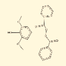 COc1cccc(OC)c1O.O=C(OOC(=O)c1ccccc1)c1ccccc1